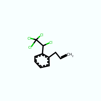 C=CCc1ccccc1C(Cl)C(Cl)(Cl)Cl